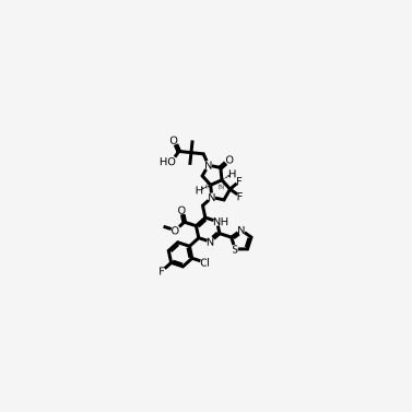 COC(=O)C1=C(CN2CC(F)(F)[C@@H]3C(=O)N(CC(C)(C)C(=O)O)C[C@@H]32)NC(c2nccs2)=NC1c1ccc(F)cc1Cl